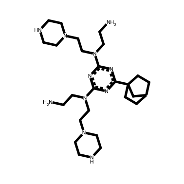 NCCN(CCN1CCNCC1)c1nc(N(CCN)CCN2CCNCC2)nc(C23CCC(CC2)C3)n1